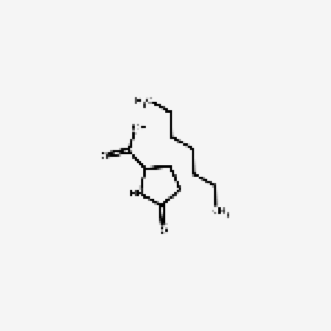 CCCCCCC.O=C1CCC(C(=O)O)N1